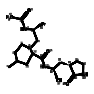 CC1CCN(C[C@@H](NC(=O)C(F)(F)F)C(C)C)C(C(=O)N[C@H](C#N)C[C@@H]2CCNC2=O)C1